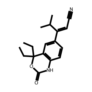 CCC1(CC)OC(=O)Nc2ccc(/C(=C/C#N)C(C)C)cc21